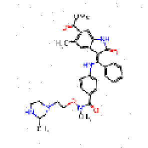 COC(=O)c1cc2c(cc1C)C(=C(Nc1ccc(C(=O)N(C)OCCN3CCNC(C)C3)cc1)c1ccccc1)C(=O)N2